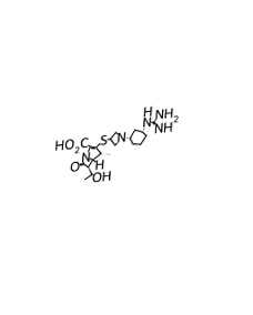 CC(O)[C@H]1C(=O)N2C(C(=O)O)=C(SC3CN([C@H]4CCC[C@@H](NC(=N)N)C4)C3)[C@H](C)[C@H]12